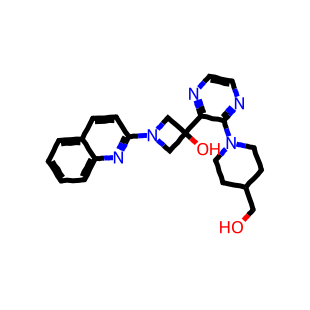 OCC1CCN(c2nccnc2C2(O)CN(c3ccc4ccccc4n3)C2)CC1